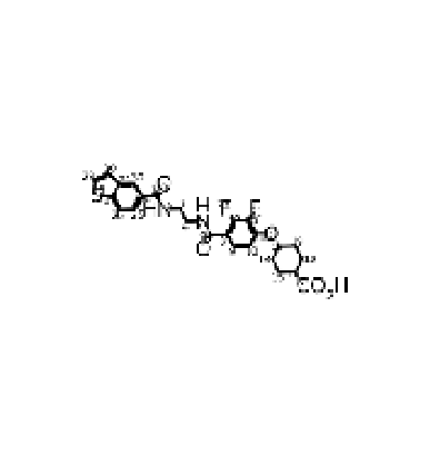 O=C(NCCNC(=O)c1ccc(O[C@H]2CC[C@@H](C(=O)O)CC2)c(F)c1F)c1ccc2sccc2c1